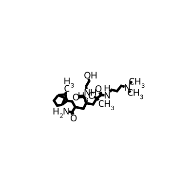 CC1C2CCC(C2)C1CC(CC(CC(C)(C)C(=O)NCCCN(C)C)C(=O)NCCO)C(N)=O